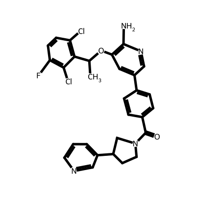 CC(Oc1cc(-c2ccc(C(=O)N3CCC(c4cccnc4)C3)cc2)cnc1N)c1c(Cl)ccc(F)c1Cl